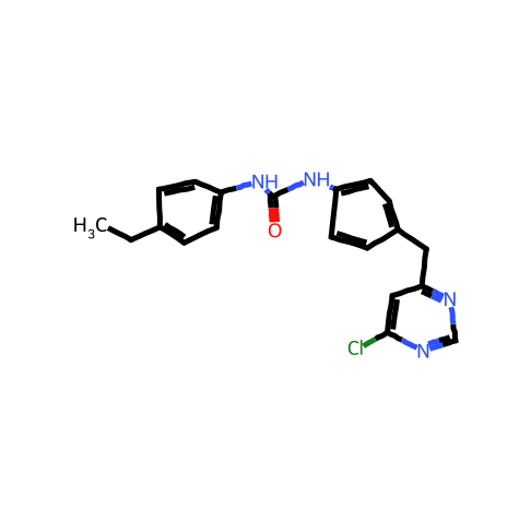 CCc1ccc(NC(=O)Nc2ccc(Cc3cc(Cl)ncn3)cc2)cc1